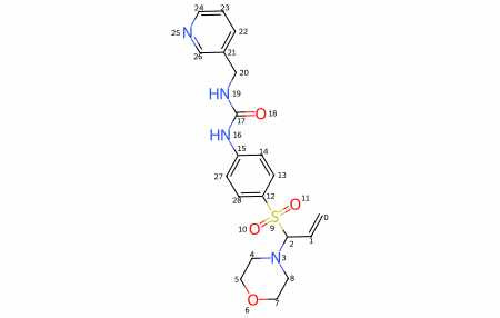 C=CC(N1CCOCC1)S(=O)(=O)c1ccc(NC(=O)NCc2cccnc2)cc1